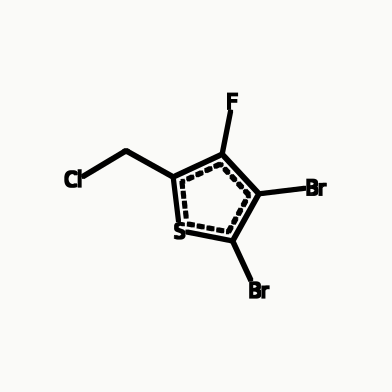 Fc1c(CCl)sc(Br)c1Br